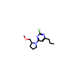 CCCc1cc(N2CCCC2COC)nc(Cl)n1